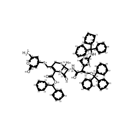 Cc1cc(SCC2=C(C(=O)OC(c3ccccc3)c3ccccc3)N3C(=O)[C@@H](NC(=O)/C(=N/OC(c4ccccc4)(c4ccccc4)c4ccccc4)c4csc(NC(c5ccccc5)(c5ccccc5)c5ccccc5)n4)[C@H]3SC2)cc(=O)o1